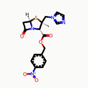 C[C@@]1(Cn2ccnc2)S[C@@H]2CC(=O)N2[C@H]1C(=O)OCc1ccc([N+](=O)[O-])cc1